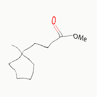 COC(=O)CCC1(C)CCCC1